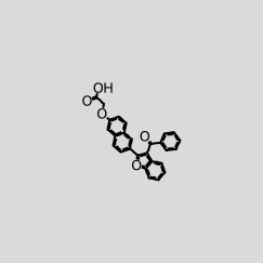 O=C(O)COc1ccc2cc(-c3oc4ccccc4c3C(=O)c3ccccc3)ccc2c1